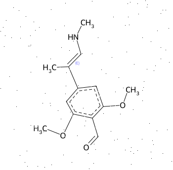 CN/C=C(\C)c1cc(OC)c(C=O)c(OC)c1